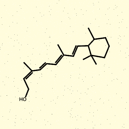 CC(=C/CO)/C=C/C=C(C)/C=C/C1C(C)CCCC1(C)C